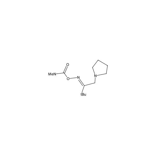 CNC(=O)ON=C(CN1CCCC1)C(C)(C)C